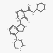 O=C(NC1CCCCC1)c1cccn(C2CCc3c2cccc3N2CCOCC2)c1=O